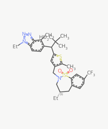 CC[C@H]1Cc2ccc(C(F)(F)F)cc2S(=O)(=O)N(Cc2cc(C(c3ccc4c(nnn4CC)c3C)C(C)(C)C(=O)O)sc2C)C1